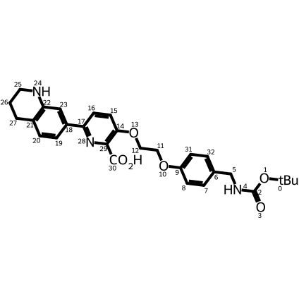 CC(C)(C)OC(=O)NCc1ccc(OCCOc2ccc(-c3ccc4c(c3)NCCC4)nc2C(=O)O)cc1